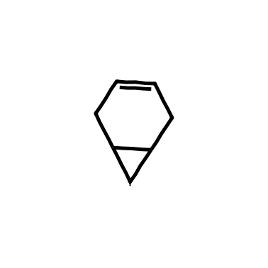 [CH]1C2CC=CCC12